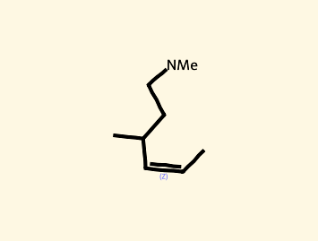 C/C=C\C(C)CCNC